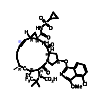 CC[C@@H]1C[C@H](C)CC/C=C\[C@@H]2C[C@@]2(C(=O)NS(=O)(=O)C2CC2)NC(=O)[C@@H]2C[C@@H](Oc3ncc(OC)c4c(Cl)cccc34)CN2C(=O)[C@H]1N(C(=O)O)C(C)(C)C(F)(F)F